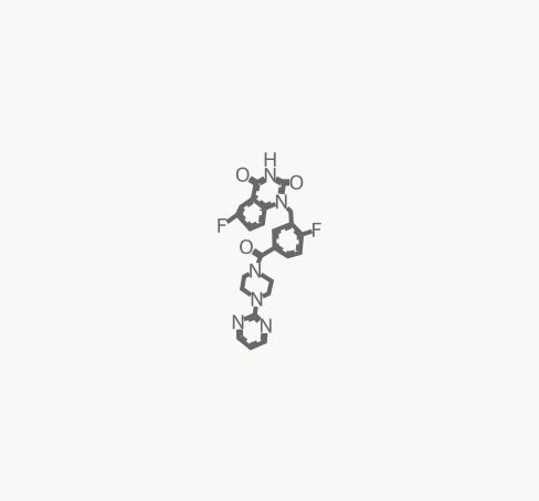 O=C(c1ccc(F)c(Cn2c(=O)[nH]c(=O)c3cc(F)ccc32)c1)N1CCN(c2ncccn2)CC1